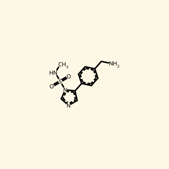 CNS(=O)(=O)n1cncc1-c1ccc(CN)cc1